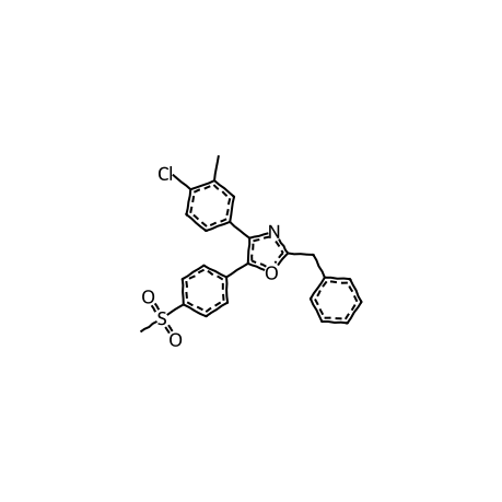 Cc1cc(-c2nc(Cc3ccccc3)oc2-c2ccc(S(C)(=O)=O)cc2)ccc1Cl